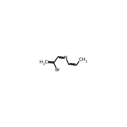 C=C(Br)/C=N\C=C/C